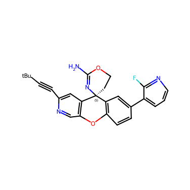 CC(C)(C)C#Cc1cc2c(cn1)Oc1ccc(-c3cccnc3F)cc1[C@@]21CCOC(N)=N1